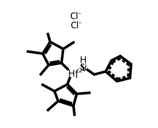 CC1=C(C)C(C)[C]([Hf+2](=[SiH]Cc2ccccc2)[C]2=C(C)C(C)=C(C)C2C)=C1C.[Cl-].[Cl-]